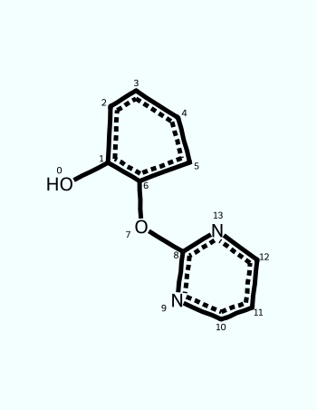 Oc1ccccc1Oc1n[c]ccn1